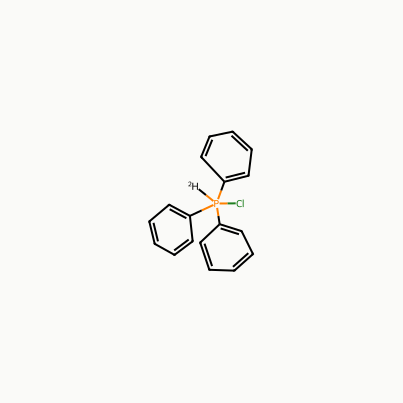 [2H]P(Cl)(c1ccccc1)(c1ccccc1)c1ccccc1